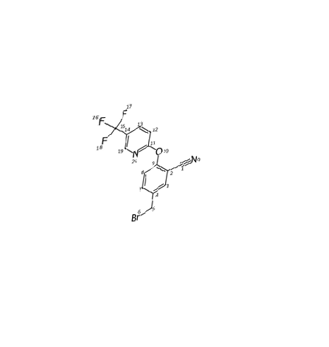 N#Cc1cc(CBr)ccc1Oc1ccc(C(F)(F)F)cn1